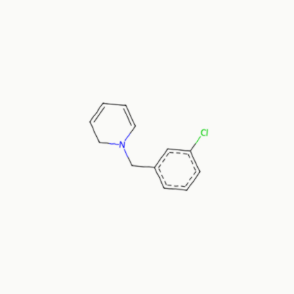 Clc1cccc(CN2C=CC=CC2)c1